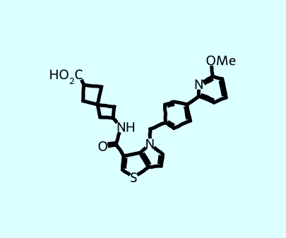 COc1cccc(-c2ccc(Cn3ccc4scc(C(=O)NC5CC6(C5)CC(C(=O)O)C6)c43)cc2)n1